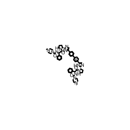 CN1CCN(C(=O)N[C@@H](C(=O)N2CCC[C@H]2c2ncc(-c3ccc(C45CCC(c6cnc([C@@H]7CCCN7C(=O)[C@H](NC(=O)N7CCN(C)CC7)c7ccccc7)[nH]6)(CC4)CC5)cc3)[nH]2)c2ccccc2)CC1